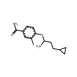 NC(=O)c1ccc(OC(N)CCC2CC2)c(F)c1